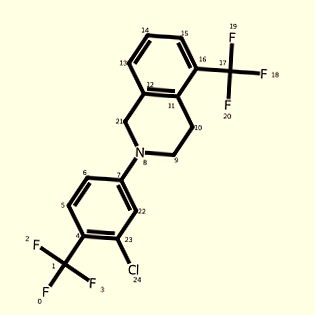 FC(F)(F)c1ccc(N2CCc3c(cccc3C(F)(F)F)C2)cc1Cl